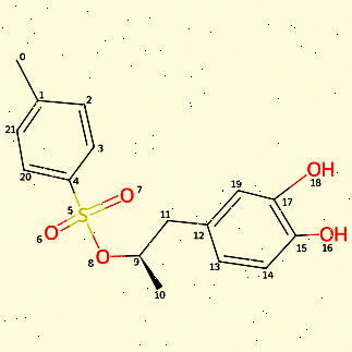 Cc1ccc(S(=O)(=O)O[C@H](C)Cc2ccc(O)c(O)c2)cc1